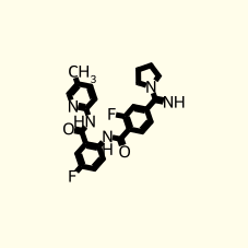 Cc1ccc(NC(=O)c2cc(F)ccc2NC(=O)c2ccc(C(=N)N3CCCC3)cc2F)nc1